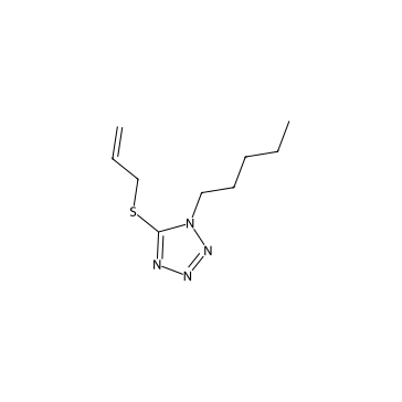 C=CCSc1nnnn1CCCCC